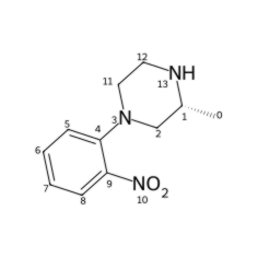 C[C@@H]1CN(c2ccccc2[N+](=O)[O-])CCN1